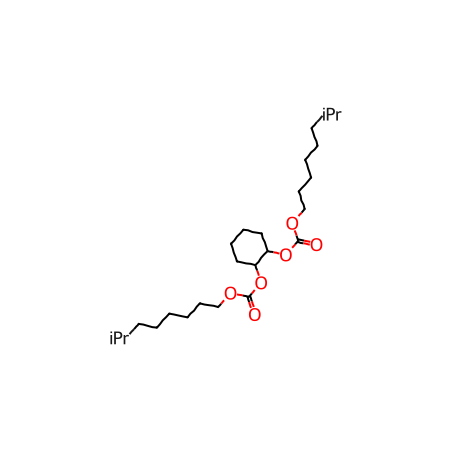 CC(C)CCCCCCOC(=O)OC1CCCCC1OC(=O)OCCCCCCC(C)C